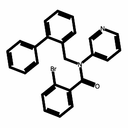 O=C(c1ccccc1Br)N(Cc1ccccc1-c1ccccc1)c1cccnc1